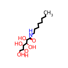 CCCCCCCCNC(=O)[C@H](O)[C@@H](O)[C@@H](O)[C@H](O)CO